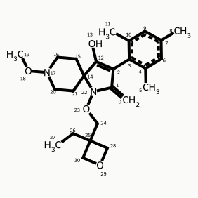 C=C1C(c2c(C)cc(C)cc2C)=C(O)C2(CCN(OC)CC2)N1OCC1(CC)COC1